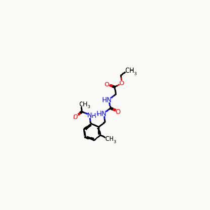 CCOC(=O)CNC(=O)NCc1c(C)cccc1NC(C)=O